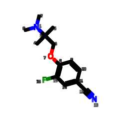 CN(C)C(C)(C)COc1ccc(C#N)cc1F